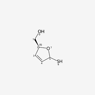 OC[C@@H]1C=CC(S)O1